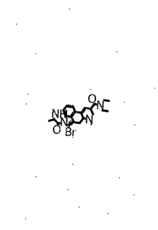 CCN(CC)C(=O)C1C=C2c3cccc4c3c(c(Br)n4C(=O)C(C)N)CC2N(C)C1